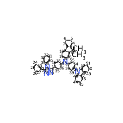 CC1(C)c2ccccc2-c2ccc(N(c3ccc(-c4nnc(-c5ccccc5)n4-c4ccccc4)cc3)c3ccc(-n4c5ccccc5c5ccccc54)cc3)cc21